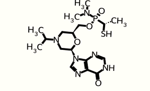 CC(C)N1C[C@@H](COP(=O)([C@H](C)S)N(C)C)O[C@@H](n2cnc3c(=O)[nH]cnc32)C1